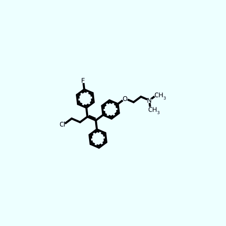 CN(C)CCOc1ccc(/C(=C(/CCCl)c2ccc(F)cc2)c2ccccc2)cc1